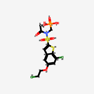 CC(=O)N(CP(=O)(O)O)S(=O)(=O)c1cc2cc(OCCCl)cc(Cl)c2s1